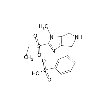 CCS(=O)(=O)c1nc2c(n1C)CNC2.O=S(=O)(O)c1ccccc1